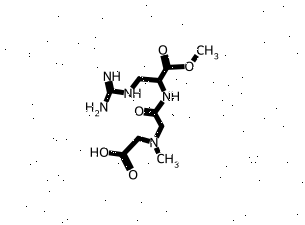 COC(=O)C(CNC(=N)N)NC(=O)CN(C)CC(=O)O